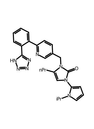 CCCc1cn(-c2cccn2C(C)C)c(=O)n1Cc1ccc(-c2ccccc2-c2nnn[nH]2)nc1